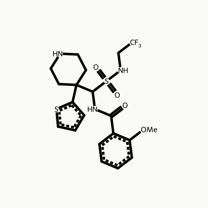 COc1ccccc1C(=O)NC(C1(c2cccs2)CCNCC1)S(=O)(=O)NCC(F)(F)F